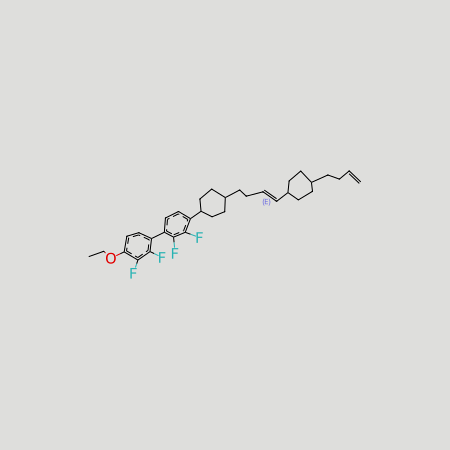 C=CCCC1CCC(/C=C/CCC2CCC(c3ccc(-c4ccc(OCC)c(F)c4F)c(F)c3F)CC2)CC1